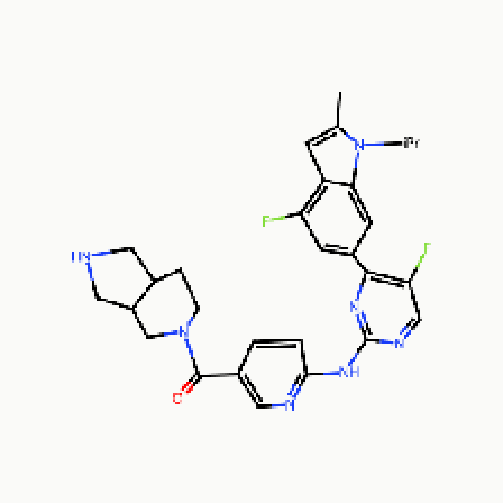 Cc1cc2c(F)cc(-c3nc(Nc4ccc(C(=O)N5CCC6CNCC6C5)cn4)ncc3F)cc2n1C(C)C